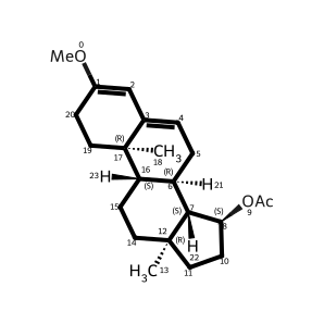 COC1=CC2=CC[C@H]3[C@@H]4[C@@H](OC(C)=O)CC[C@@]4(C)CC[C@@H]3[C@@]2(C)CC1